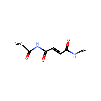 CCCNC(=O)C=CC(=O)NC(=O)OC